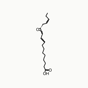 CC/C=C\C[C@@H]1O/C1=C\C=C\CCCCCCCC(=O)O